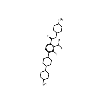 CCCC1CCC(CC(=O)c2ccc(C3CCC(C4CCC(CCC)CC4)CC3)c(F)c2C(F)F)CC1